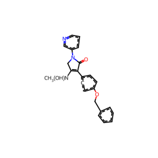 CN(O)C1=C(c2ccc(OCc3ccccc3)cc2)C(=O)N(c2cccnc2)C1